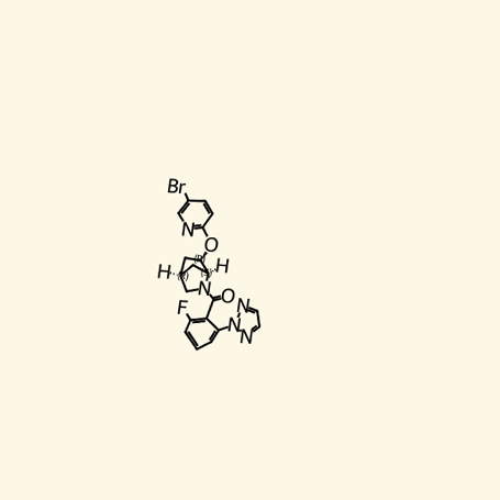 O=C(c1c(F)cccc1-n1nccn1)N1C[C@H]2C[C@@H](Oc3ccc(Br)cn3)[C@@H]1C2